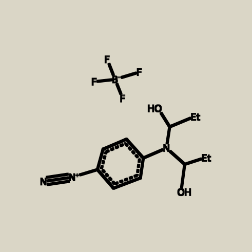 CCC(O)N(c1ccc([N+]#N)cc1)C(O)CC.F[B-](F)(F)F